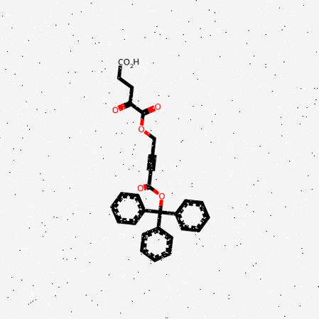 O=C(O)CCC(=O)C(=O)OCC#CC(=O)OC(c1ccccc1)(c1ccccc1)c1ccccc1